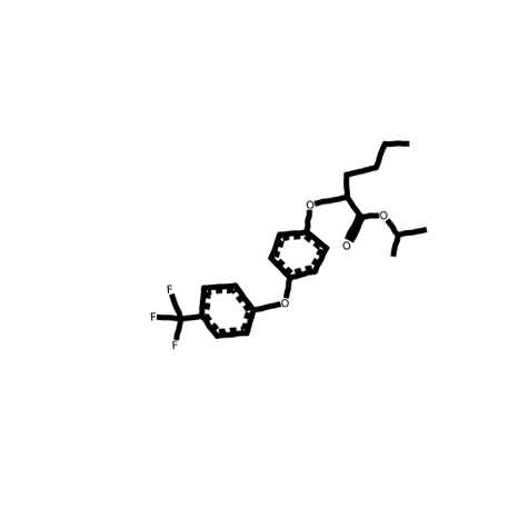 CCCCC(Oc1ccc(Oc2ccc(C(F)(F)F)cc2)cc1)C(=O)OC(C)C